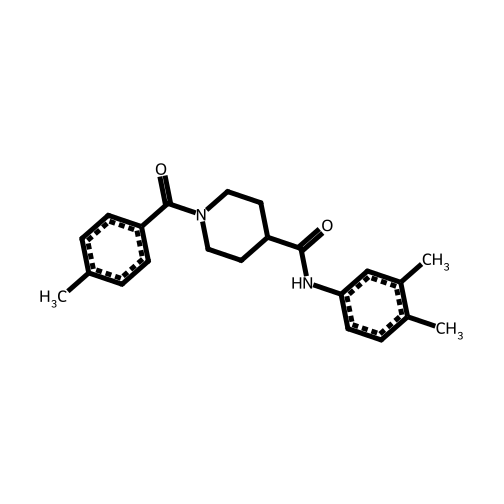 Cc1ccc(C(=O)N2CCC(C(=O)Nc3ccc(C)c(C)c3)CC2)cc1